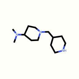 CN(C)C1CCN(CC2CCNCC2)CC1